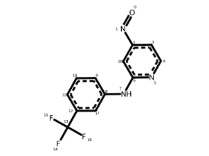 O=Nc1ccnc(Nc2cccc(C(F)(F)F)c2)c1